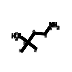 BC(C)(C)CCN